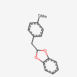 COc1ccc(C[C]2Oc3ccccc3O2)cc1